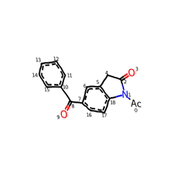 CC(=O)N1C(=O)Cc2cc(C(=O)c3ccccc3)ccc21